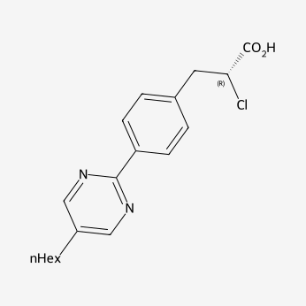 CCCCCCc1cnc(-c2ccc(C[C@@H](Cl)C(=O)O)cc2)nc1